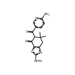 CC(=O)Nc1nc2c(s1)C(=O)C(C(=O)c1ccc(N)nc1)C(C)(C)C2